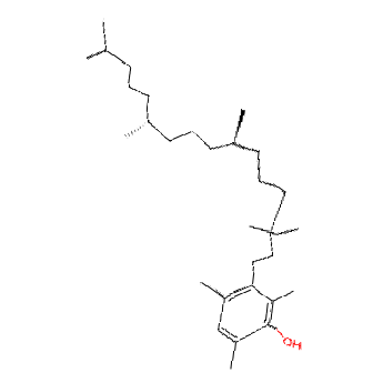 Cc1cc(C)c(CCC(C)(C)CCC[C@H](C)CCC[C@H](C)CCCC(C)C)c(C)c1O